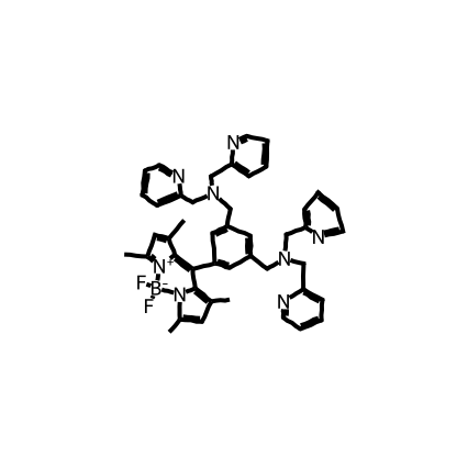 CC1=CC(C)=[N+]2C1=C(c1cc(CN(Cc3ccccn3)Cc3ccccn3)cc(CN(Cc3ccccn3)Cc3ccccn3)c1)c1c(C)cc(C)n1[B-]2(F)F